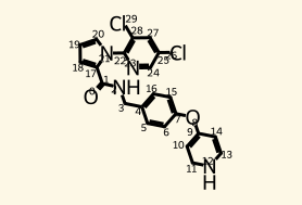 O=C(NCc1ccc(OC2=CCNC=C2)cc1)c1cccn1-c1ncc(Cl)cc1Cl